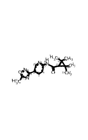 Cc1nc(-c2ccc(NC(=O)C3C(C)(C)C3(C)C)nc2)no1